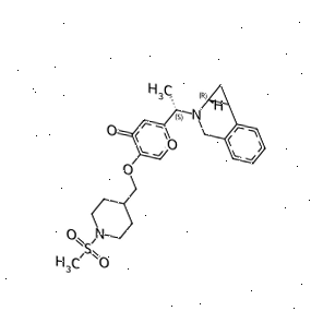 C[C@@H](c1cc(=O)c(OCC2CCN(S(C)(=O)=O)CC2)co1)N1Cc2ccccc2C2C[C@H]21